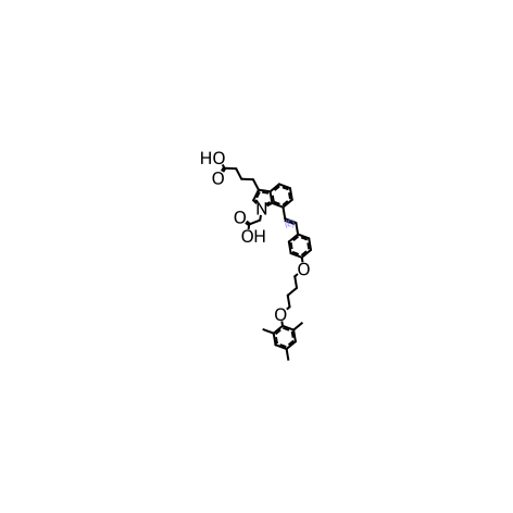 Cc1cc(C)c(OCCCCOc2ccc(/C=C/c3cccc4c(CCCC(=O)O)cn(CC(=O)O)c34)cc2)c(C)c1